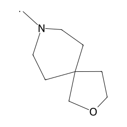 [CH2]N1CCC2(CCOC2)CC1